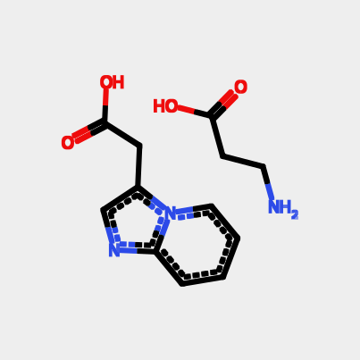 NCCC(=O)O.O=C(O)Cc1cnc2ccccn12